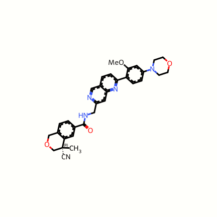 COc1cc(N2CCOCC2)ccc1-c1ccc2cnc(CNC(=O)c3ccc4c(c3)[C@](C)(C#N)COC4)cc2n1